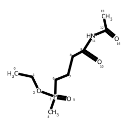 CCOP(C)(=O)CCCC(=O)NC(C)=O